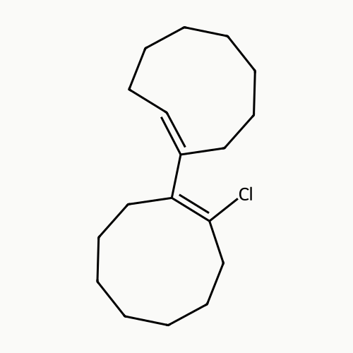 Cl/C1=C(\C2=C/CCCCCCC2)CCCCCCC1